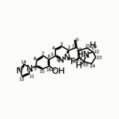 C=C(c1ccc(-c2ccc(-n3ccnc3)cc2O)nn1)[C@@H]1C[C@H]2CC[C@H](N2)C1F